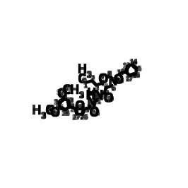 CCCCC[C@H](CN(C=O)OCc1ccccc1)C(=O)NCNC(=O)c1ccc(-c2cc(OC)cc(OC)c2)o1